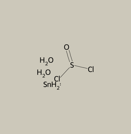 O.O.O=S(Cl)Cl.[SnH2]